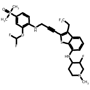 CN1CCC(Nc2cccc3c(CC(F)(F)F)c(C#CCNc4ccc(P(C)(C)=O)cc4OC(F)F)sc23)C(F)C1